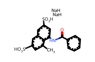 Cc1cc(S(=O)(=O)O)cc2cc(S(=O)(=O)O)cc(NC(=O)c3ccccc3)c12.[NaH].[NaH]